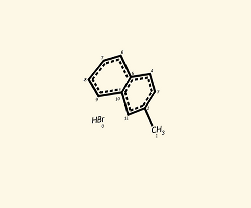 Br.Cc1ccc2ccccc2c1